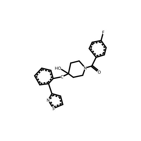 O=C(c1ccc(F)cc1)N1CCC(O)(Cc2ccccc2-c2ccsn2)CC1